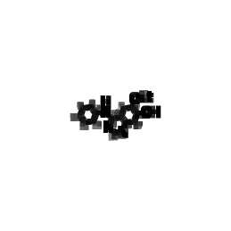 CCOc1cc2c(Nc3ccccc3)ncnc2cc1O